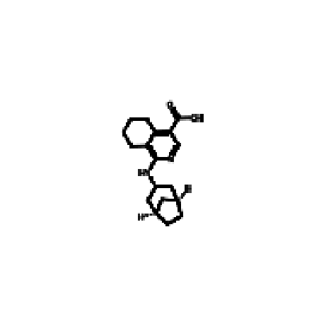 O=C(O)c1cnc(N[C@@H]2C[C@@H]3CC[C@@H](C3)C2)c2c1CCCC2